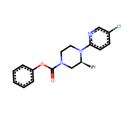 CC(C)[C@H]1CN(C(=O)Oc2ccccc2)CCN1c1ccc(Cl)cn1